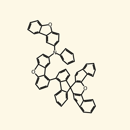 c1ccc(N(c2ccc3oc4ccccc4c3c2)c2ccc3oc4cccc(-c5cccc6c5-c5ccccc5C65c6ccc7ccccc7c6Oc6c5ccc5ccccc65)c4c3c2)cc1